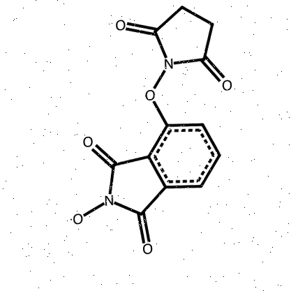 [O]N1C(=O)c2cccc(ON3C(=O)CCC3=O)c2C1=O